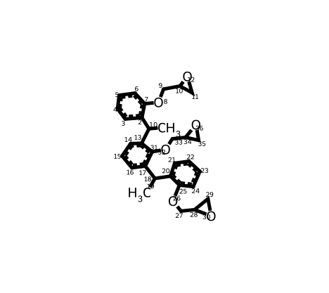 CC(c1ccccc1OCC1CO1)c1cccc(C(C)c2ccccc2OCC2CO2)c1OCC1CO1